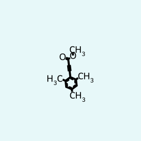 COC(=O)C#Cc1c(C)cc(C)cc1C